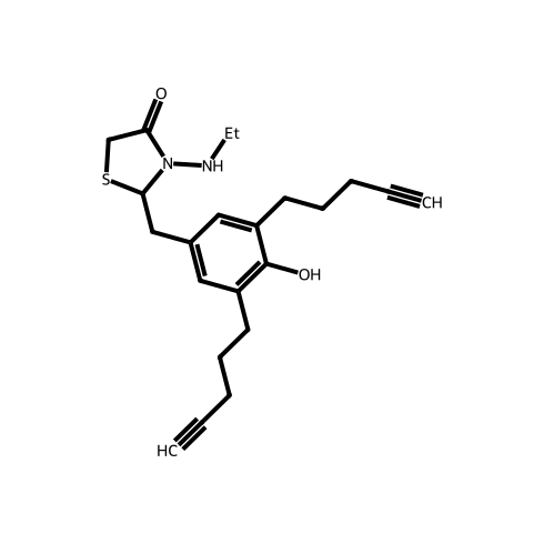 C#CCCCc1cc(CC2SCC(=O)N2NCC)cc(CCCC#C)c1O